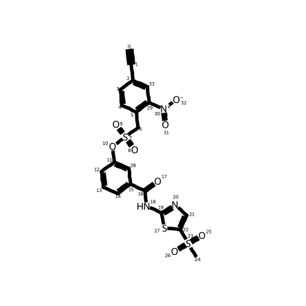 C#Cc1ccc(CS(=O)(=O)Oc2cccc(C(=O)Nc3ncc(S(C)(=O)=O)s3)c2)c([N+](=O)[O-])c1